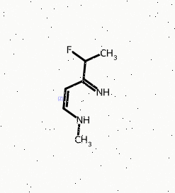 CN/C=C\C(=N)C(C)F